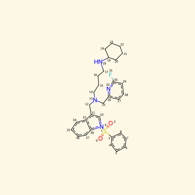 O=S(=O)(c1ccccc1)n1cc(CN(CCCCNC2CCCCC2)Cc2cccc(F)n2)c2ccccc21